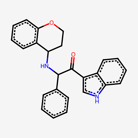 O=C(c1c[nH]c2ccccc12)C(NC1CCOc2ccccc21)c1ccccc1